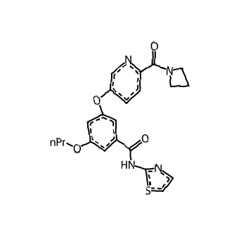 CCCOc1cc(Oc2ccc(C(=O)N3CCC3)nc2)cc(C(=O)Nc2nccs2)c1